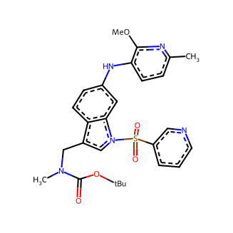 COc1nc(C)ccc1Nc1ccc2c(CN(C)C(=O)OC(C)(C)C)cn(S(=O)(=O)c3cccnc3)c2c1